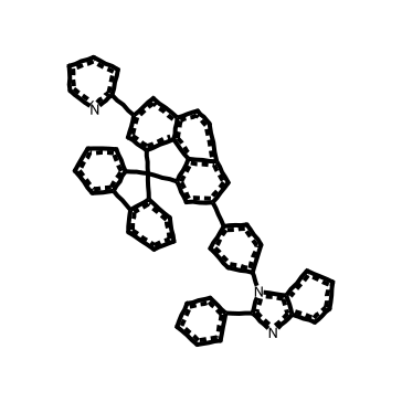 c1ccc(-c2nc3ccccc3n2-c2ccc(-c3cc4c5c(ccc6cc(-c7ccccn7)cc(c65)C45c4ccccc4-c4ccccc45)c3)cc2)cc1